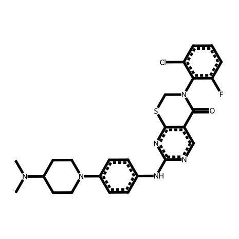 CN(C)C1CCN(c2ccc(Nc3ncc4c(n3)SCN(c3c(F)cccc3Cl)C4=O)cc2)CC1